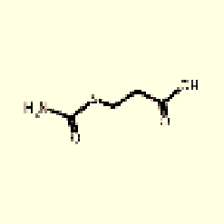 NC(=O)SCCC(=O)O